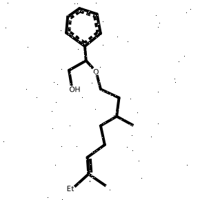 CCC(C)=CCCC(C)CCOC(CO)c1ccccc1